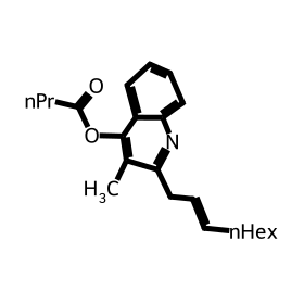 CCCCCC/C=C/Cc1nc2ccccc2c(OC(=O)CCC)c1C